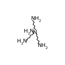 NCCCCCCN(CCCCCCN)C(N)CCCCCN